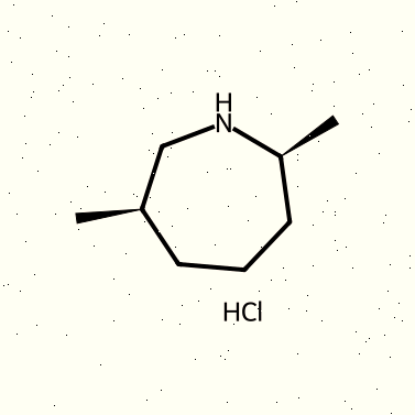 C[C@@H]1CCC[C@H](C)NC1.Cl